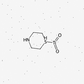 [O]=[Ti](=[O])[SH]1CCNCC1